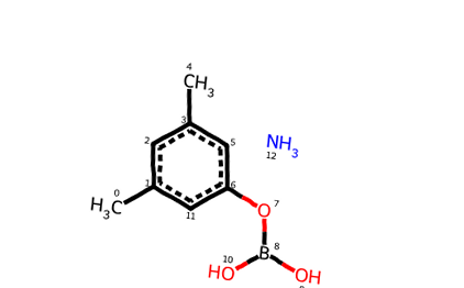 Cc1cc(C)cc(OB(O)O)c1.N